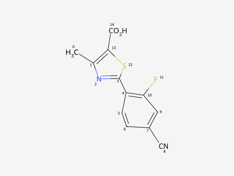 Cc1nc(-c2ccc(C#N)cc2F)sc1C(=O)O